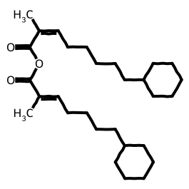 CC(=CCCCCCC1CCCCC1)C(=O)OC(=O)C(C)=CCCCCC1CCCCC1